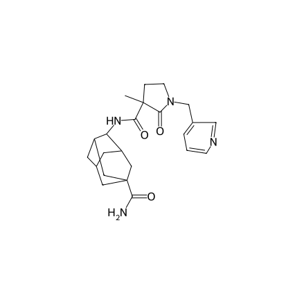 CC1(C(=O)NC2C3CC4CC2CC(C(N)=O)(C4)C3)CCN(Cc2cccnc2)C1=O